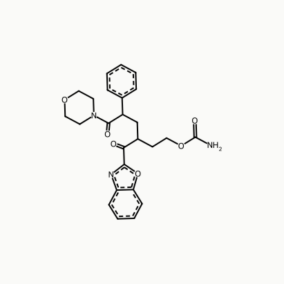 NC(=O)OCCC(CC(C(=O)N1CCOCC1)c1ccccc1)C(=O)c1nc2ccccc2o1